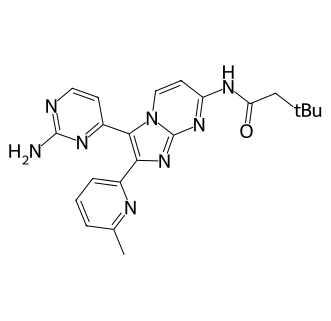 Cc1cccc(-c2nc3nc(NC(=O)CC(C)(C)C)ccn3c2-c2ccnc(N)n2)n1